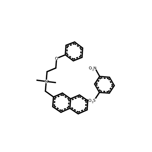 C[N+](C)(CCOc1ccccc1)Cc1ccc2ccccc2c1.O=[N+]([O-])c1cccc(S(=O)(=O)O)c1